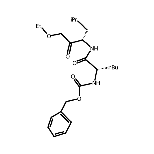 CCCC[C@H](NC(=O)OCc1ccccc1)C(=O)N[C@@H](CC(C)C)C(=O)COCC